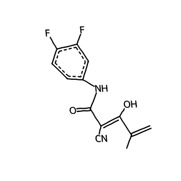 C=C(C)C(O)=C(C#N)C(=O)Nc1ccc(F)c(F)c1